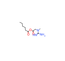 CCCCCC(=O)OC(=O)CN(C)C(=N)N